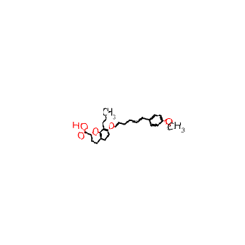 CCCc1c(OC=CCCCCc2ccc(OC)cc2)ccc2c1OC(C(=O)O)CC2